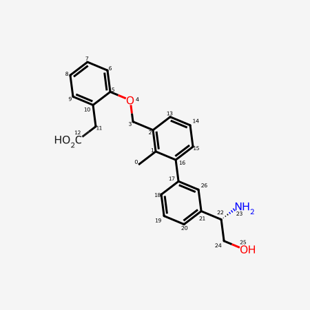 Cc1c(COc2ccccc2CC(=O)O)cccc1-c1cccc([C@H](N)CO)c1